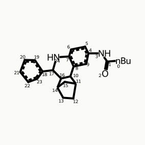 CCCCC(=O)Nc1ccc2c(c1)C1C3CCC(C3)C1C(c1ccccc1)N2